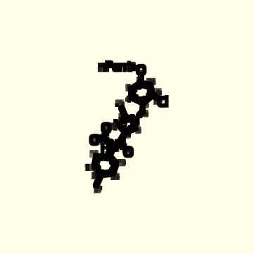 CCCCCOc1ccc(Cn2cc(C(=O)N(c3ccc(C)cc3)[SH](=O)=O)nc2C)c(Cl)c1